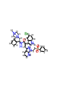 Cc1ccc(S(=O)(=O)CCn2nc(/C=C(/C(=O)N[C@H](CN3CCN(C)CC3)c3ccccc3)c3cn(C)c4ccc(Br)cc34)c3cccnc32)cc1